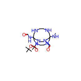 CNC12CNCCNCC(NC=O)(CN(C(=O)OC(C)(C)C)CCN(C=O)C1)CN(C(C)(C)C)CCN(C)C2